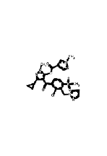 Cn1cc(C(=O)Oc2c(C(=O)c3ccc(S(C)(=O)=O)c(Cn4cccn4)c3Cl)c(C3CC3)nn2C)cn1